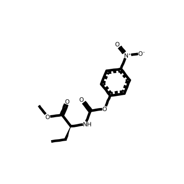 CC[C@H](NC(=O)Oc1ccc([N+](=O)[O-])cc1)C(=O)OC